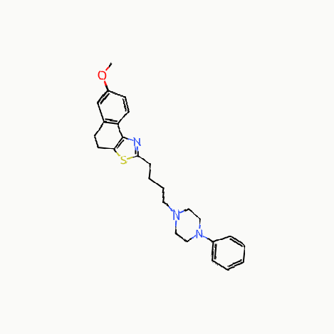 COc1ccc2c(c1)CCc1sc(CCCCN3CCN(c4ccccc4)CC3)nc1-2